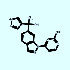 CC(O)(c1cn[nH]c1)c1ccc2cnn(-c3ccnc(N)n3)c2c1